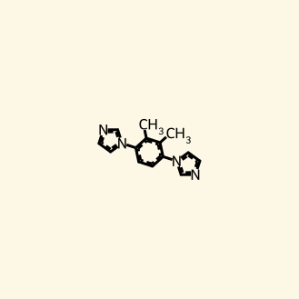 Cc1c(-n2ccnc2)ccc(-n2ccnc2)c1C